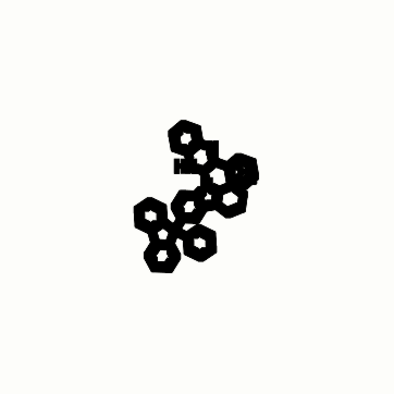 CC1CC=Cc2c1n(C1Nc3ccccc3N=C1c1ccccc1)c1ccc(C3(c4ccccc4)c4ccccc4-c4ccccc43)cc21